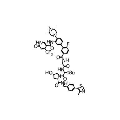 Cc1ncsc1-c1ccc(CNC(=O)[C@@H]2C[C@@H](O)CN2C(=O)C(NC(=O)CNC(=O)c2ccc(F)c(-c3ccc(N4C[C@@H](C)N(C)[C@@H](C)C4)c(NC(=O)c4c[nH]c(=O)cc4C(F)(F)F)c3)c2)C(C)(C)C)cc1